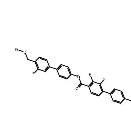 CCOCc1ccc(-c2ccc(OC(=O)c3ccc(-c4ccc(C)cc4)c(F)c3F)cc2)cc1F